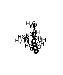 COC(=O)CCNC(=O)OCC1(O)Cc2c(O)c3c(c(O)c2[C@@H](O[C@H]2C[C@H](N)[C@@H](O)[C@@H](C)O2)C1)C(=O)c1ccccc1C3=O.Cl